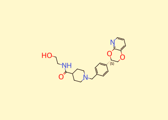 O=C(NCCO)C1CCN(Cc2ccc([C@H]3COc4cccnc4O3)cc2)CC1